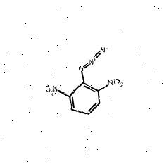 [N-]=[N+]=Nc1c([N+](=O)[O-])cccc1[N+](=O)[O-]